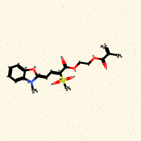 C=C(C)C(=O)OCCOC(=O)/C(=C/C=C1\Oc2ccccc2N1C)S(C)(=O)=O